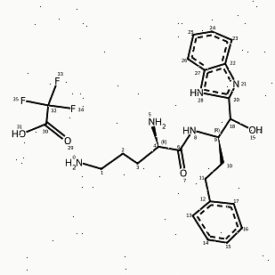 NCCC[C@@H](N)C(=O)N[C@H](CCc1ccccc1)C(O)c1nc2ccccc2[nH]1.O=C(O)C(F)(F)F